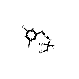 CCC(C)(C)N=C=Nc1cc(Br)cc(Br)c1